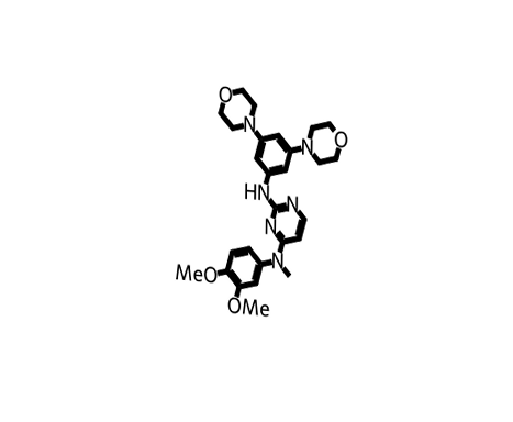 COc1ccc(N(C)c2ccnc(Nc3cc(N4CCOCC4)cc(N4CCOCC4)c3)n2)cc1OC